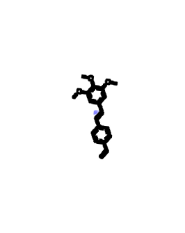 C=Cc1ccc(/C=C/c2cc(OC)c(OC)c(OC)c2)cc1